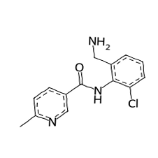 Cc1ccc(C(=O)Nc2c(Cl)cccc2CN)cn1